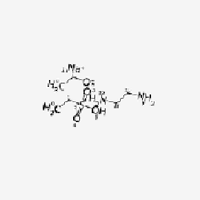 CCS(=O)(=O)O.CC[O-].NCCN.[Na+]